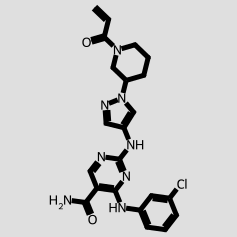 C=CC(=O)N1CCCC(n2cc(Nc3ncc(C(N)=O)c(Nc4cccc(Cl)c4)n3)cn2)C1